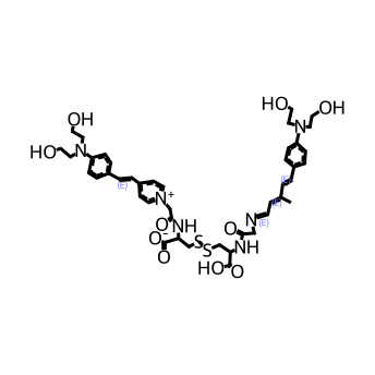 CC(/C=C/c1ccc(N(CCO)CCO)cc1)=C\C=N\CC(=O)NC(CSSCC(NC(=O)C[n+]1ccc(/C=C/c2ccc(N(CCO)CCO)cc2)cc1)C(=O)[O-])C(=O)O